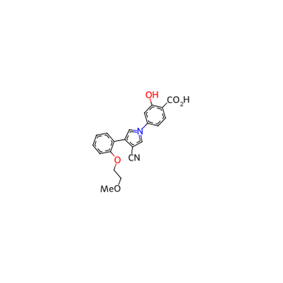 COCCOc1ccccc1-c1cn(-c2ccc(C(=O)O)c(O)c2)cc1C#N